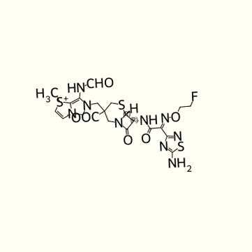 C[S+]1C=CN2CN(CC3(C(=O)[O-])CS[C@@H]4[C@H](NC(=O)C(=NOCCF)c5nsc(N)n5)C(=O)N4C3)C(NC=O)=C21